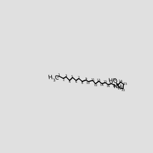 CCCCCCCCCCCCCCCCCCNC1(O)CCCC1